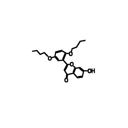 CCCCOc1ccc(OCCCC)c(-c2cc(=O)c3ccc(O)cc3o2)c1